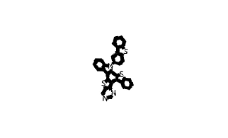 c1ccc2c(c1)sc1ccc(-n3c4ccccc4c4c5sc6cncnc6c5c5c6ccccc6sc5c43)cc12